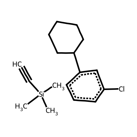 C#C[Si](C)(C)C.Clc1cccc(C2CCCCC2)c1